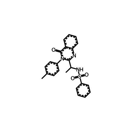 Cc1ccc(-n2c(C(C)NS(=O)(=O)c3ccccc3)nc3ccccc3c2=O)cc1